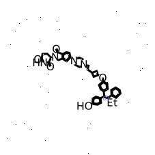 CC/C(=C(\c1ccc(O)cc1)c1ccc(OC2CC(CCN3CCN(c4ccc5c(c4)CN(C4CCC(=O)NC4=O)C5=O)CC3)C2)cc1)c1ccccc1